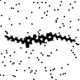 CCCCCCCCCc1cnc(-c2ccc(OC(=O)c3ccc(CCCCCCCC)c(Cl)c3)cc2)nc1